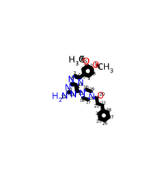 COc1ccc(-c2cnc3nc(N)nc(N4CCN(C(=O)CCc5ccccc5)CC4)c3n2)cc1OC